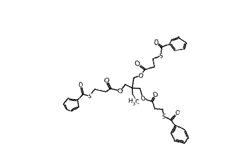 CCC(COC(=O)CCSC(=O)c1ccccc1)(COC(=O)CCSC(=O)c1ccccc1)COC(=O)CCSC(=O)c1ccccc1